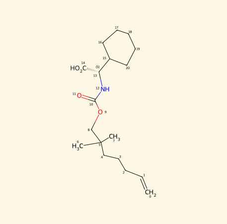 C=CCCCC(C)(C)COC(=O)N[C@H](C(=O)O)C1CCCCC1